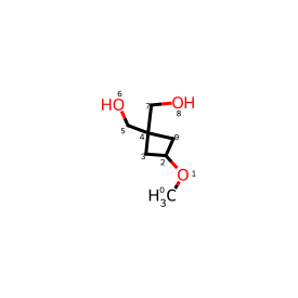 COC1CC(CO)(CO)C1